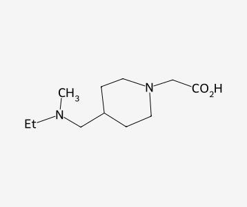 CCN(C)CC1CCN(CC(=O)O)CC1